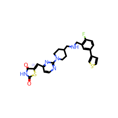 O=C1NC(=O)/C(=C/c2ccnc(N3CCC(CNCc4cc(-c5ccsc5)ccc4F)CC3)n2)S1